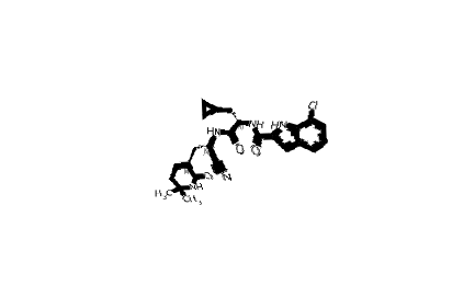 CC1(C)CC[C@@H](C[C@@H](C#N)NC(=O)[C@H](CC2CC2)NC(=O)c2cc3cccc(Cl)c3[nH]2)C(=O)N1